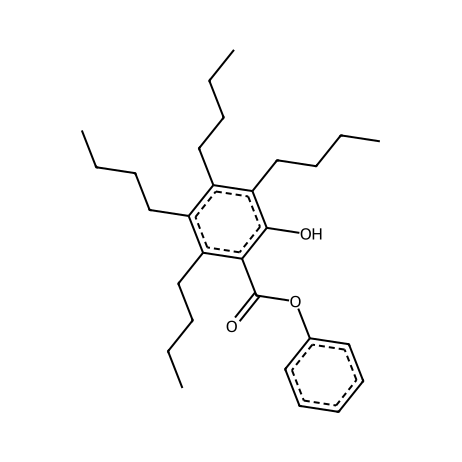 CCCCc1c(O)c(C(=O)Oc2ccccc2)c(CCCC)c(CCCC)c1CCCC